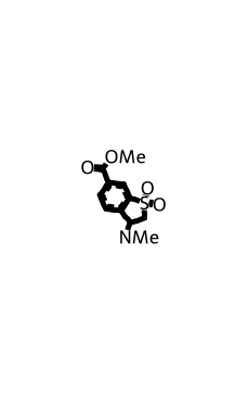 CNC1CS(=O)(=O)c2cc(C(=O)OC)ccc21